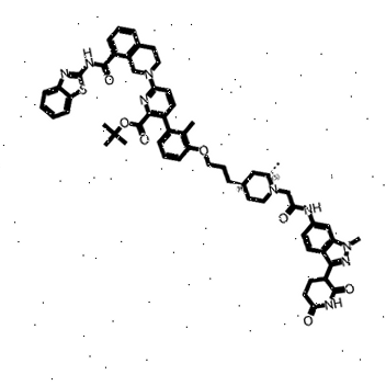 Cc1c(OCCC[C@@H]2CCN(CC(=O)Nc3ccc4c(C5CCC(=O)NC5=O)nn(C)c4c3)[C@@H](C)C2)cccc1-c1ccc(N2CCc3cccc(C(=O)Nc4nc5ccccc5s4)c3C2)nc1C(=O)OC(C)(C)C